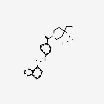 CC(C)CC1(OP(O)O)CCN(C(=O)c2ccc(N[S+]([O-])c3cccc4scnc34)cc2)CC1